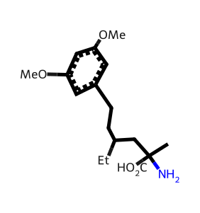 CCC(CCc1cc(OC)cc(OC)c1)CC(C)(N)C(=O)O